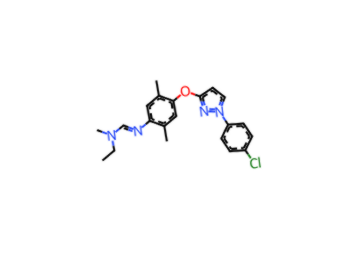 CCN(C)C=Nc1cc(C)c(Oc2ccn(-c3ccc(Cl)cc3)n2)cc1C